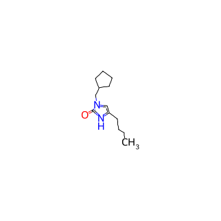 CCCCc1cn(CC2CCCC2)c(=O)[nH]1